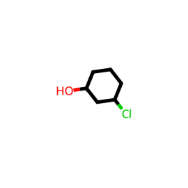 O[C]1CCCC(Cl)C1